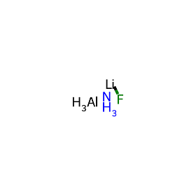 N.[AlH3].[Li][F]